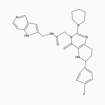 O=C(Cn1c(N2CCCCC2)nc2c(c1=O)NC(c1ccc(F)cc1)CC2)NCc1cc2cnccc2[nH]1